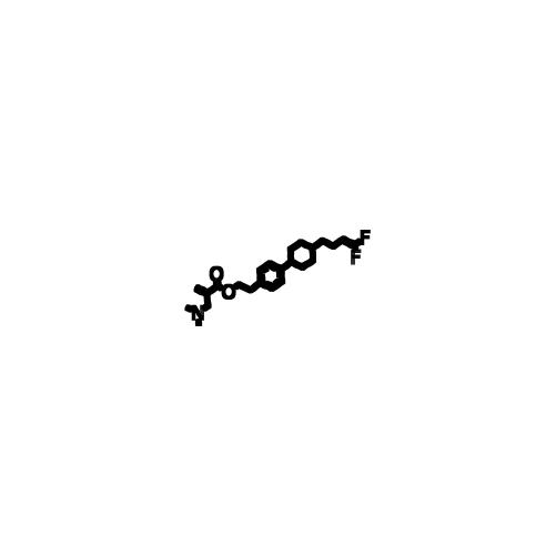 C=C(CN(C)C)C(=O)OCCc1ccc(C2CCC(CCC=C(F)F)CC2)cc1